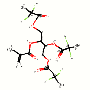 C=C(C)C(=O)OC(COC(=O)C(F)(F)C(C)(C)C)C(COC(=O)C(F)(F)C(C)(C)C)OC(=O)C(F)(F)C(C)(C)C